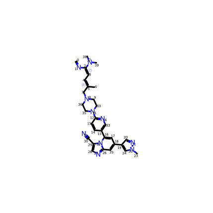 C=N/C(=C\C=C(/C)CN1CCN(c2ccc(-c3cc(-c4cnn(C)c4)cc4ncc(C#N)n34)cn2)CC1)N(C)C